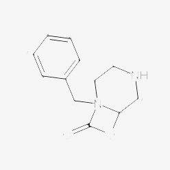 O=C1OC2CNCC[N+]12Cc1ccccc1